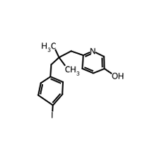 CC(C)(Cc1ccc(I)cc1)Cc1ccc(O)cn1